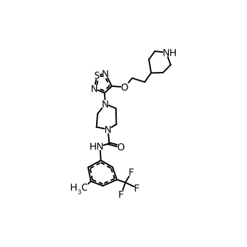 Cc1cc(NC(=O)N2CCN(c3nsnc3OCCC3CCNCC3)CC2)cc(C(F)(F)F)c1